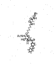 CC(=O)NC1C(OCCCCCCNC(=O)CC(=O)NCOC(C)C)OC(CNC(=O)c2ccc(Oc3ccccc3)cc2)C(O)C1O